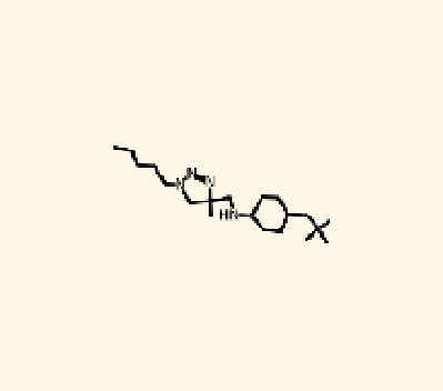 CCCCCN1CC(C)(CNC2CCC(CC(C)(C)C)CC2)N=N1